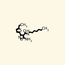 CCCCCCCNC(=O)c1c(-c2ccc(CC)s2)noc1N